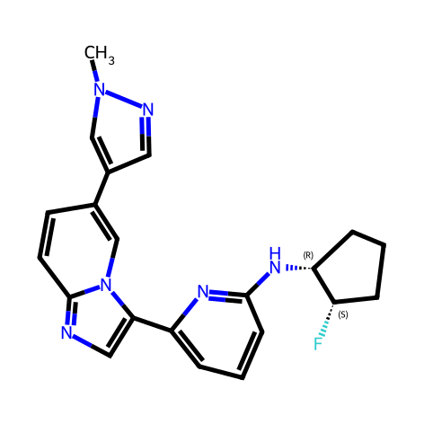 Cn1cc(-c2ccc3ncc(-c4cccc(N[C@@H]5CCC[C@@H]5F)n4)n3c2)cn1